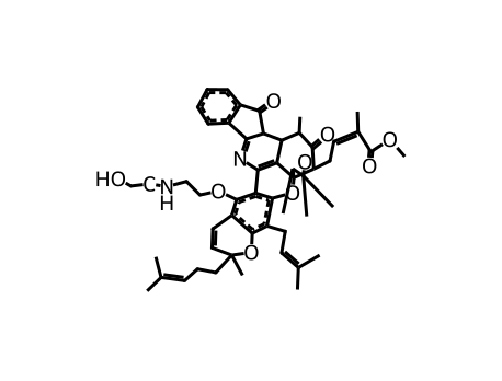 COC(=O)/C(C)=C\CC12OC(C)(C)C(C)C13Oc1c(CC=C(C)C)c4c(c(OCCNCCO)c1C1=C3C(C(C)C2=O)C2C(=O)c3ccccc3C2=N1)C=CC(C)(CCC=C(C)C)O4